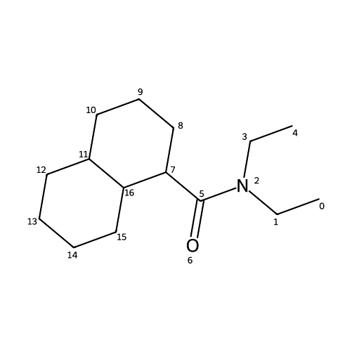 CCN(CC)C(=O)C1CCCC2CCCCC21